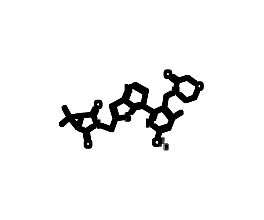 Cc1cc(C(F)(F)F)nc(-c2ccnc3cc(CN4C(=O)C5C(C4=O)C5(C)C)sc23)c1CN1CCOCC1=O